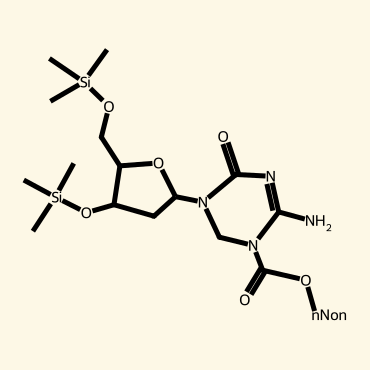 CCCCCCCCCOC(=O)N1CN(C2CC(O[Si](C)(C)C)C(CO[Si](C)(C)C)O2)C(=O)N=C1N